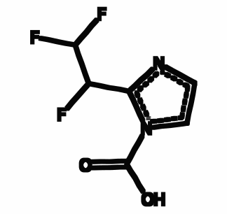 O=C(O)n1ccnc1C(F)C(F)F